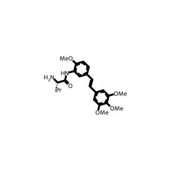 COc1ccc(C=Cc2cc(OC)c(OC)c(OC)c2)cc1NC(=O)[C@@H](N)C(C)C